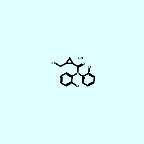 CCc1ccccc1N(C(=O)C1CC1CN)c1ccccc1CC.Cl